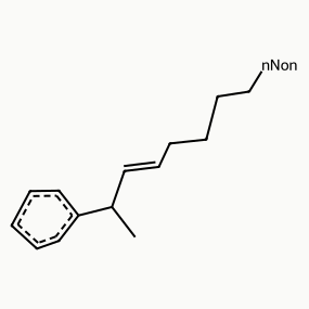 CCCCCCCCCCCCCC=CC(C)c1ccccc1